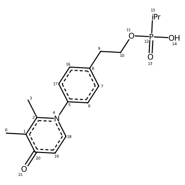 Cc1c(C)n(-c2ccc(CCOP(=O)(O)C(C)C)cc2)ccc1=O